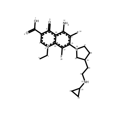 CCn1cc(C(=O)O)c(=O)c2c(N)c(F)c(N3CCC(CCNC4CC4)C3)c(F)c21